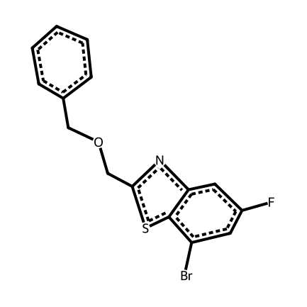 Fc1cc(Br)c2sc(COCc3ccccc3)nc2c1